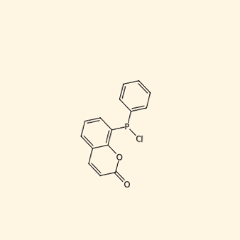 O=c1ccc2cccc(P(Cl)c3ccccc3)c2o1